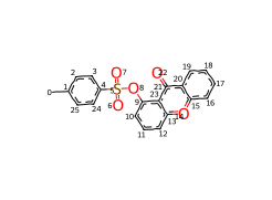 Cc1ccc(S(=O)(=O)Oc2cccc3oc4ccccc4c(=O)c23)cc1